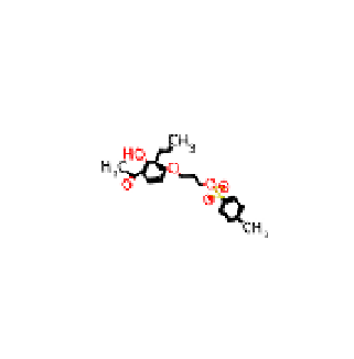 CCCc1c(OCCCOS(=O)(=O)c2ccc(C)cc2)ccc(C(C)=O)c1O